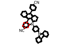 N#Cc1ccc(-c2c3ccccc3c(-c3ccc(C#N)cc3)c3c(N(c4ccccc4)c4ccc(-n5c6ccccc6c6ccccc65)cc4)cccc23)cc1